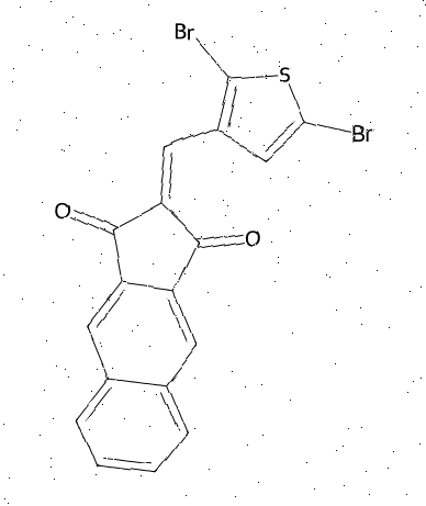 O=C1C(=Cc2cc(Br)sc2Br)C(=O)c2cc3ccccc3cc21